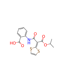 CC(C)OC(=O)C(C(=O)Nc1ccccc1C(=O)O)=C1SC=CS1